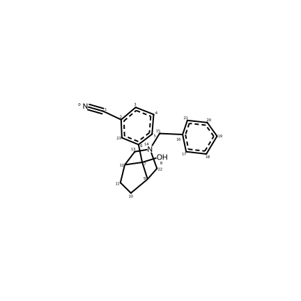 N#Cc1cccc(C2(O)C3CCC2CN(Cc2ccccc2)C3)c1